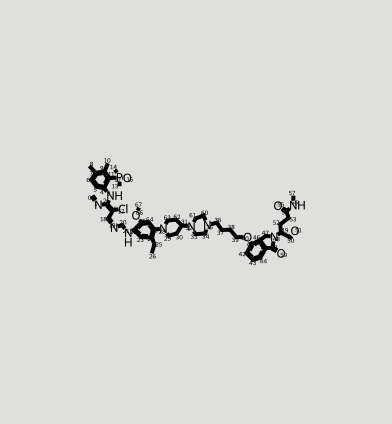 C=N/C(Nc1ccc(C)c(C)c1P(C)(C)=O)=C(Cl)\C=N/CNc1cc(CC)c(N2CCC(N3CCN(CCCCOc4cccc5c4CN(C(C=O)CCC(=O)NC)C5=O)CC3)CC2)cc1OC